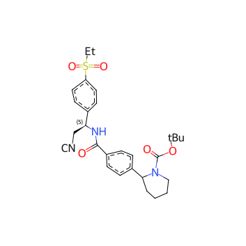 CCS(=O)(=O)c1ccc([C@H](CC#N)NC(=O)c2ccc(C3CCCCN3C(=O)OC(C)(C)C)cc2)cc1